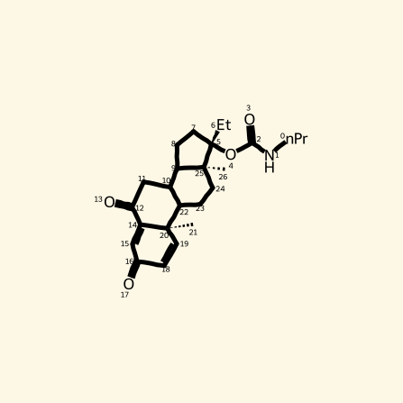 CCCNC(=O)O[C@@]1(CC)CCC2C3CC(=O)C4=CC(=O)C=C[C@]4(C)C3CC[C@@]21C